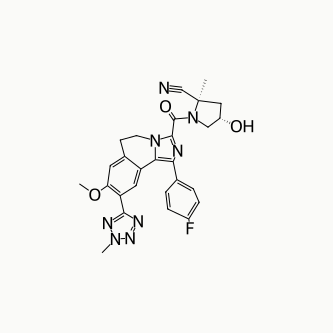 COc1cc2c(cc1-c1nnn(C)n1)-c1c(-c3ccc(F)cc3)nc(C(=O)N3C[C@@H](O)C[C@]3(C)C#N)n1CC2